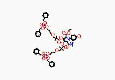 CCOC(=O)c1c(OC(=O)C(C)(C)COCCCOP(=O)(OCc2ccccc2)OCc2ccccc2)c(OC(=O)C(C)(C)COCCCOP(=O)(OCc2ccccc2)OCc2ccccc2)c(C(=O)N(C)C)n1-c1ccc(OC)cc1